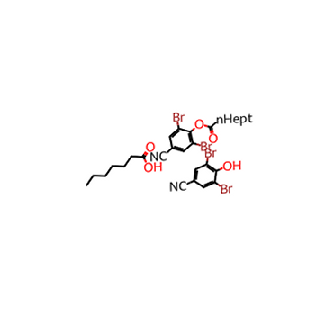 CCCCCCC(=O)O.CCCCCCCC(=O)Oc1c(Br)cc(C#N)cc1Br.N#Cc1cc(Br)c(O)c(Br)c1